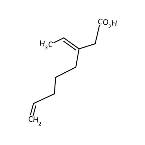 C=CCCCC(=CC)CC(=O)O